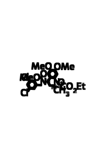 CCOC(=O)ON1c2cc(OC)c(OC)cc2[C@@H](N(Cc2cc(Cl)cc(Cl)c2)C(=O)OC)C[C@H]1C